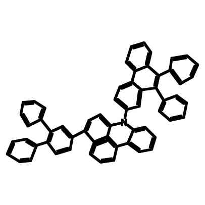 c1ccc(-c2ccc(-c3ccc(N(c4ccc5c(c4)c(-c4ccccc4)c(-c4ccccc4)c4ccccc45)c4ccccc4-c4ccccc4)cc3)cc2-c2ccccc2)cc1